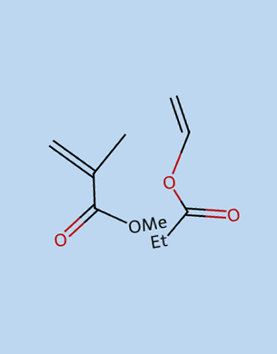 C=C(C)C(=O)OC.C=COC(=O)CC